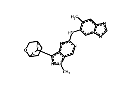 Cc1cc2ncnn2cc1Nc1ncc2c(n1)c(C1CC3CCC(C1)OC3)nn2C